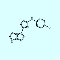 Cc1nc2[nH]ccn2c1-c1csc(Nc2ccc(Cl)cn2)n1